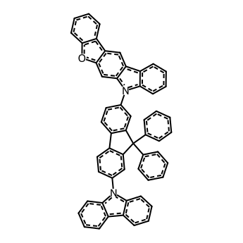 c1ccc(C2(c3ccccc3)c3cc(-n4c5ccccc5c5ccccc54)ccc3-c3ccc(-n4c5ccccc5c5cc6c(cc54)oc4ccccc46)cc32)cc1